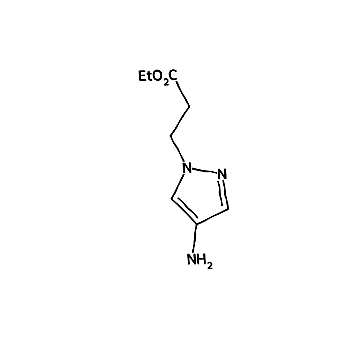 CCOC(=O)CCn1cc(N)cn1